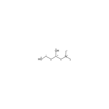 CN(C)CC(O)CCO